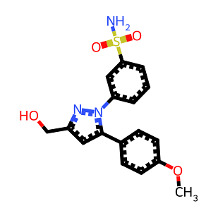 COc1ccc(-c2cc(CO)nn2-c2cccc(S(N)(=O)=O)c2)cc1